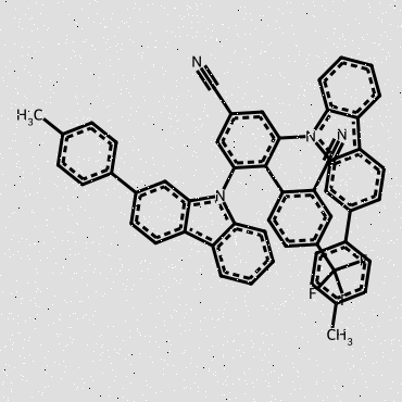 Cc1ccc(-c2ccc3c4ccccc4n(-c4cc(C#N)cc(-n5c6ccccc6c6ccc(-c7ccc(C)cc7)cc65)c4-c4ccc(C(F)(F)F)cc4C#N)c3c2)cc1